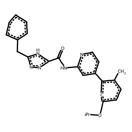 Cc1ccc(OC(C)C)cc1-c1ccnc(NC(=O)c2nnc(Cc3ccccc3)[nH]2)c1